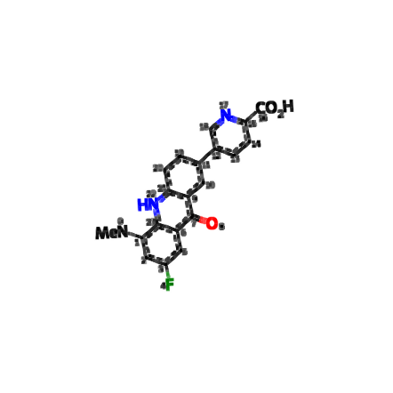 CNc1cc(F)cc2c(=O)c3cc(-c4ccc(C(=O)O)nc4)ccc3[nH]c12